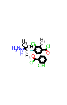 CC(C)(C)NN.Cc1c(C(=O)Cl)ccc(F)c1Cl.Cl.O=C(Cl)c1ccccc1